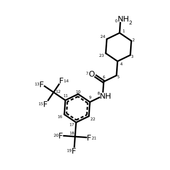 NC1CCC(CC(=O)Nc2cc(C(F)(F)F)cc(C(F)(F)F)c2)CC1